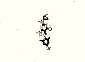 Cc1cc(Br)cc(C)c1N/C=C1\C(=N)N=C(NC2COC2)NC1=O